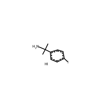 CC(C)(N)c1ccc(I)cc1.I